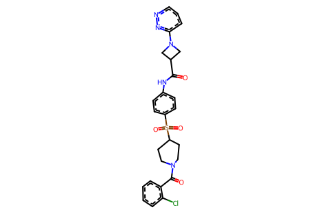 O=C(Nc1ccc(S(=O)(=O)C2CCN(C(=O)c3ccccc3Cl)CC2)cc1)C1CN(c2cccnn2)C1